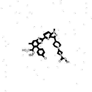 Cc1cc2nc(-c3ccc4c(n3)c(C3CCN(C5CN(C(=O)OC(C)C)C5)CC3)nn4C)sc2c(-c2ccc(Cl)cc2)c1C(OC(C)(C)C)C(=O)O